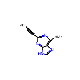 CCCCC#Cc1nc(NC)c2nc[nH]c2n1